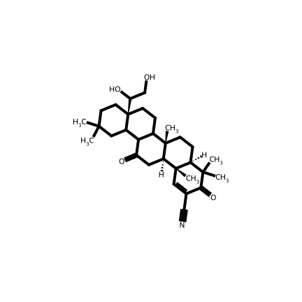 CC1(C)CC[C@]2(C(O)CO)CCC3C(C(=O)C[C@@H]4[C@@]5(C)C=C(C#N)C(=O)C(C)(C)[C@@H]5CC[C@@]34C)C2C1